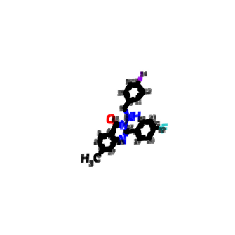 Cc1ccc2c(=O)n(NCc3ccc(I)cc3)c(-c3ccc(F)cc3)nc2c1